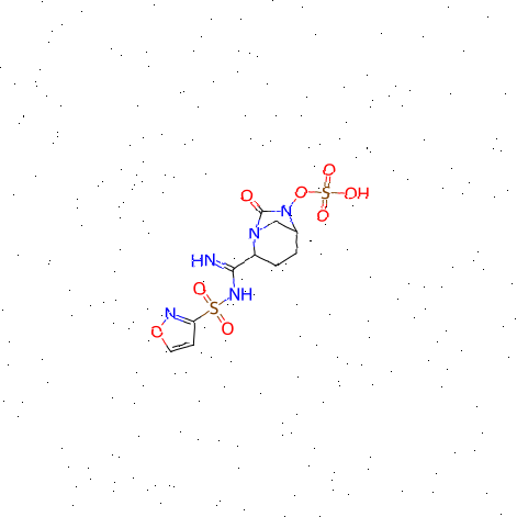 N=C(NS(=O)(=O)c1ccon1)C1CCC2CN1C(=O)N2OS(=O)(=O)O